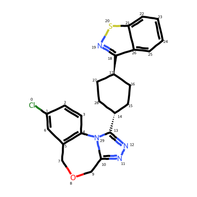 Clc1ccc2c(c1)COCc1nnc([C@H]3CC[C@H](c4nsc5ccccc54)CC3)n1-2